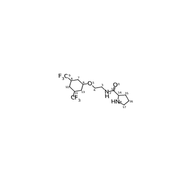 O=C(NCCOC1CC(C(F)(F)F)CC(C(F)(F)F)C1)C1CCCN1